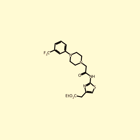 CCOC(=O)Cc1csc(NC(=O)CN2CCN(c3cccc(C(F)(F)F)c3)CC2)n1